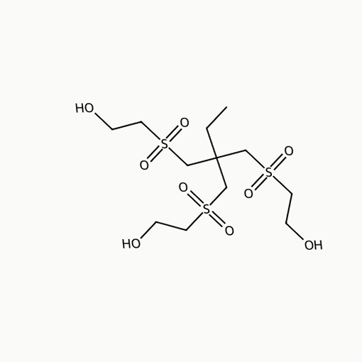 CCC(CS(=O)(=O)CCO)(CS(=O)(=O)CCO)CS(=O)(=O)CCO